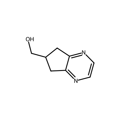 OCC1Cc2nccnc2C1